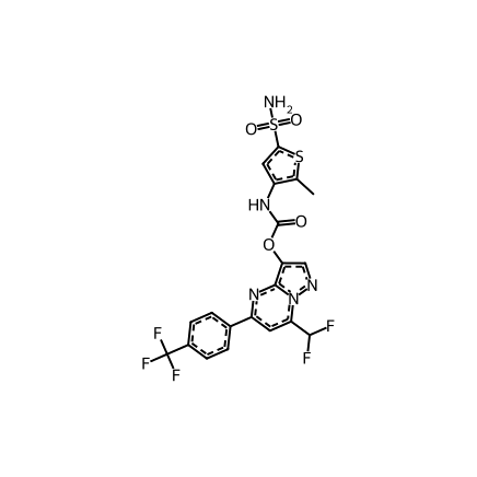 Cc1sc(S(N)(=O)=O)cc1NC(=O)Oc1cnn2c(C(F)F)cc(-c3ccc(C(F)(F)F)cc3)nc12